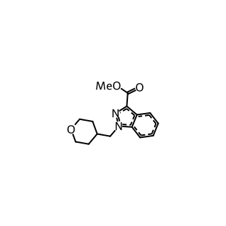 COC(=O)c1nn(CC2CCOCC2)c2ccccc12